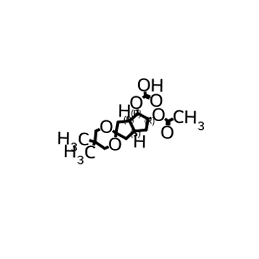 CC(=O)O[C@@H]1C[C@H]2CC3(C[C@H]2[C@H]1OC(=O)O)OCC(C)(C)CO3